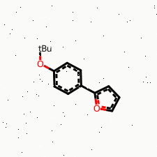 CC(C)(C)Oc1ccc(-c2ccco2)cc1